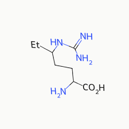 CCC(CCC(N)C(=O)O)NC(=N)N